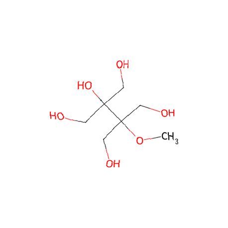 COC(CO)(CO)C(O)(CO)CO